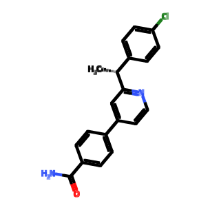 C[C@H](c1ccc(Cl)cc1)c1cc(-c2ccc(C(N)=O)cc2)ccn1